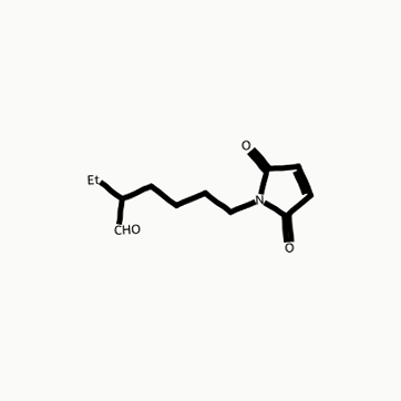 CCC(C=O)CCCCN1C(=O)C=CC1=O